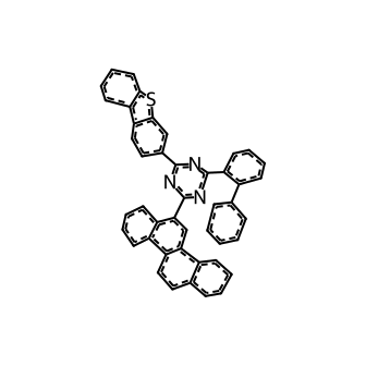 c1ccc(-c2ccccc2-c2nc(-c3ccc4c(c3)sc3ccccc34)nc(-c3cc4c5ccccc5ccc4c4ccccc34)n2)cc1